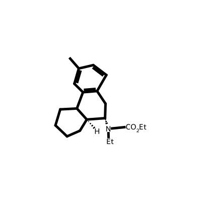 CCOC(=O)N(CC)[C@H]1Cc2ccc(C)cc2C2CCCC[C@@H]21